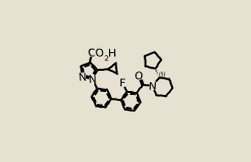 O=C(O)c1cnn(-c2cccc(-c3cccc(C(=O)N4CCCC[C@H]4C4CCCC4)c3F)c2)c1C1CC1